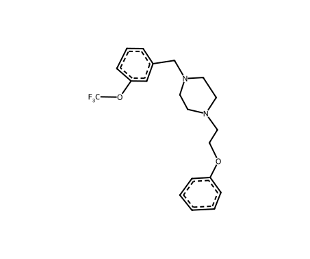 FC(F)(F)Oc1cccc(CN2CCN(CCOc3ccccc3)CC2)c1